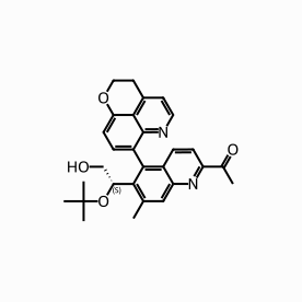 CC(=O)c1ccc2c(-c3ccc4c5c(ccnc35)CCO4)c([C@@H](CO)OC(C)(C)C)c(C)cc2n1